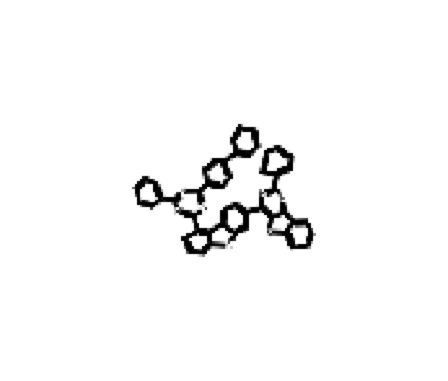 c1ccc(-c2ccc(-c3nc(-c4ccccc4)nc(-c4cccc5sc6cc(-c7nc(-c8ccccc8)nc8c7sc7ccccc78)ccc6c45)n3)cc2)cc1